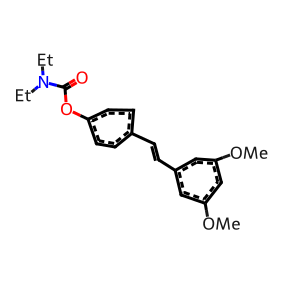 CCN(CC)C(=O)Oc1ccc(C=Cc2cc(OC)cc(OC)c2)cc1